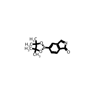 CC1(C)OB(c2ccc3c(c2)C=NC3=O)OC1(C)C